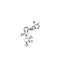 Cc1cccc(CNc2cccc3c2CN([C@H]2CCC(=O)NC2=O)C3=O)c1F